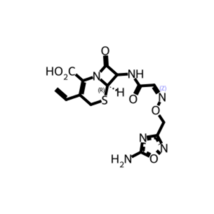 C=CC1=C(C(=O)O)N2C(=O)C(NC(=O)/C=N\OCc3noc(N)n3)[C@H]2SC1